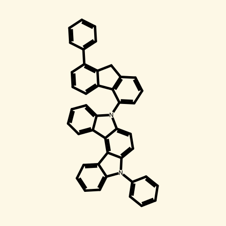 c1ccc(-c2cccc3c2Cc2cccc(-n4c5ccccc5c5c6c7ccccc7n(-c7ccccc7)c6ccc54)c2-3)cc1